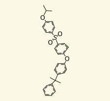 CC(C)Oc1ccc(S(=O)(=O)c2ccc(Oc3ccc(C(C)(C)c4ccccc4)cc3)cc2)cc1